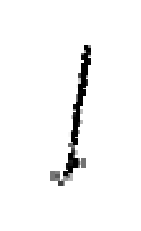 CCCCCCCCCCCCCCCCCCCCNCCNCCN